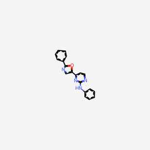 c1ccc(Nc2nccc(-c3cnc(-c4ccccc4)o3)n2)cc1